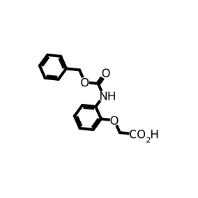 O=C(O)COc1ccccc1NC(=O)OCc1ccccc1